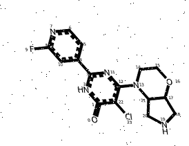 O=c1[nH]c(-c2ccnc(F)c2)nc(N2CCOC3CNCC32)c1Cl